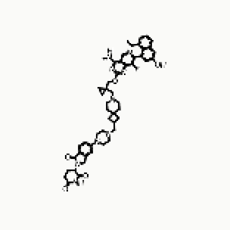 CCc1cccc2cc(O)cc(-c3ncc4c(NC)nc(OCC5(CN6CCC7(CC6)CC(CN6CCN(c8ccc9c(c8)CN([C@H]8CCC(=O)NC8=O)C9=O)CC6)C7)CC5)nc4c3F)c12